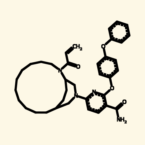 C=CC(=O)N1CCCCCCCCCCC2CCC1CN(c1ccc(C(N)=O)c(Oc3ccc(Oc4ccccc4)cc3)n1)C2